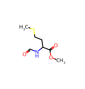 COC(=O)C(CCSC)NC=O